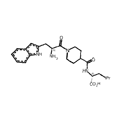 CC(C)C[C@@H](NC(=O)C1CCN(C(=O)[C@@H](N)Cc2cc3ccccc3[nH]2)CC1)C(=O)O